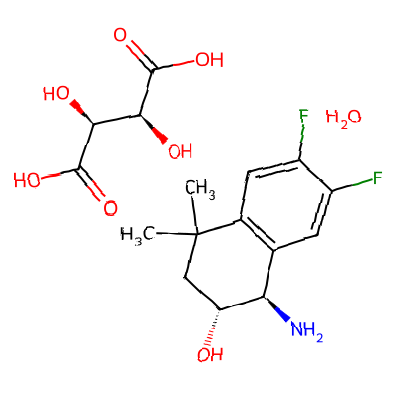 CC1(C)C[C@@H](O)[C@H](N)c2cc(F)c(F)cc21.O.O=C(O)[C@@H](O)[C@H](O)C(=O)O